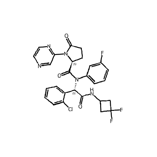 O=C(NC1CC(F)(F)C1)[C@H](c1ccccc1Cl)N(C(=O)[C@@H]1CCC(=O)N1c1cnccn1)c1cccc(F)c1